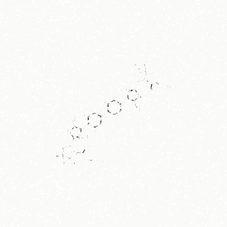 CC(C)(C)OC(=O)N1[C@@H]2C[C@@H]2C[C@H]1c1nc(Cl)c(-c2ccc(-c3ccc(-c4[nH]c([C@@H]5C[C@H]6C[C@H]6N5C(=O)OC(C)(C)C)nc4Cl)cc3)cc2)[nH]1